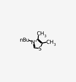 CCCC[n+]1csc(C)c1C